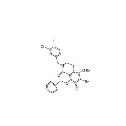 O=Cc1c(Br)c(=O)c(OCc2ccccc2)c2n1CCN(Cc1ccc(F)c(Cl)c1)C2=O